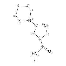 CNC(=O)C1CNC(N2CCCCC2)C1